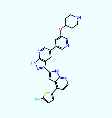 Fc1ccc(-c2ccnc3[nH]c(-c4n[nH]c5ncc(-c6cncc(OC7CCNCC7)c6)cc45)cc23)s1